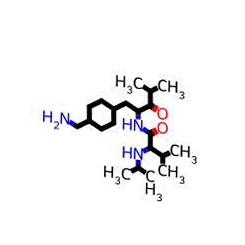 CC(C)NC(C(=O)NC(CC1CCC(CN)CC1)C(=O)C(C)C)C(C)C